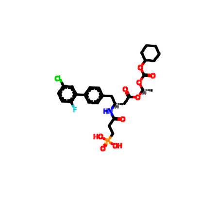 C[C@H](OC(=O)C[C@@H](Cc1ccc(-c2cc(Cl)ccc2F)cc1)NC(=O)CCP(=O)(O)O)OC(=O)OC1CCCCC1